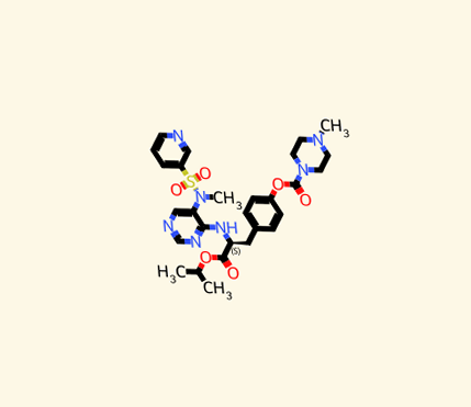 CC(C)OC(=O)[C@H](Cc1ccc(OC(=O)N2CCN(C)CC2)cc1)Nc1ncncc1N(C)S(=O)(=O)c1cccnc1